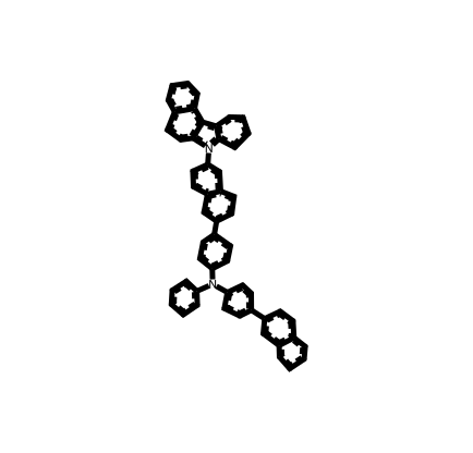 c1ccc(N(c2ccc(-c3ccc4ccccc4c3)cc2)c2ccc(-c3ccc4cc(-n5c6ccccc6c6c7ccccc7ccc65)ccc4c3)cc2)cc1